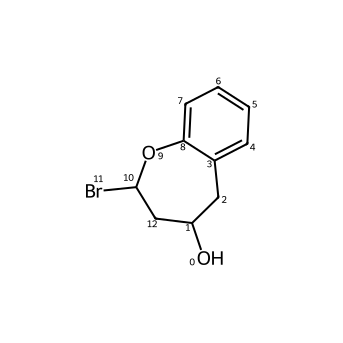 OC1Cc2ccccc2OC(Br)C1